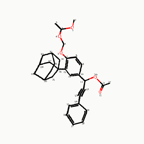 COC(C)OCOc1ccc(C(C#Cc2ccccc2)OC(C)=O)cc1C12CC3CC(CC(C3)C1)C2